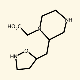 O=C(O)CN1CCNCC1CC1CCNO1